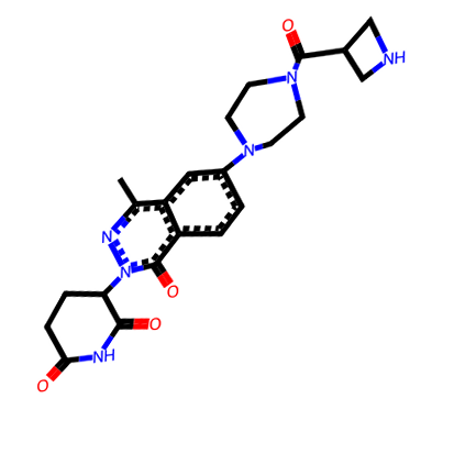 Cc1nn(C2CCC(=O)NC2=O)c(=O)c2ccc(N3CCN(C(=O)C4CNC4)CC3)cc12